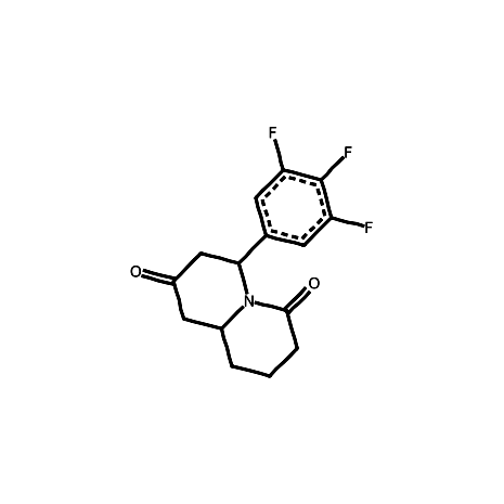 O=C1CC2CCCC(=O)N2C(c2cc(F)c(F)c(F)c2)C1